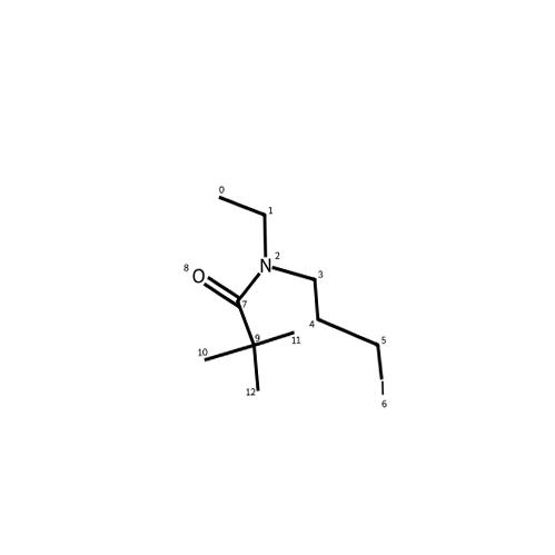 CCN(CCCI)C(=O)C(C)(C)C